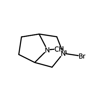 CN1C2CCC1CN(Br)C2